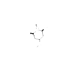 CSC1CC(=O)N(C)C(=O)C1